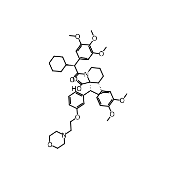 CCC(c1cccc(OCCN2CCOCC2)c1)[C@@]1(C(=O)O)[C@@H](c2ccc(OC)c(OC)c2)CCCN1C(=O)[C@H](c1cc(OC)c(OC)c(OC)c1)C1CCCCC1